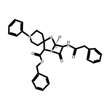 O=C(Cc1ccccc1)NC1C(=O)N2C(C(=O)OCc3ccccc3)C3(CCN(c4ccccc4)CC3)S[C@@H]12